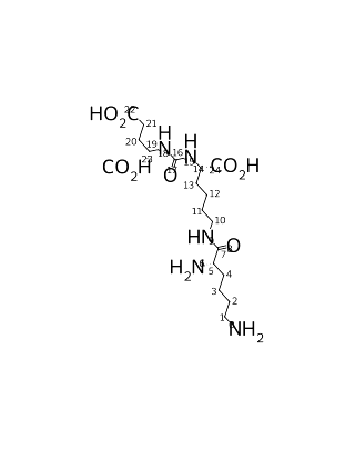 NCCCC[C@H](N)C(=O)NCCCC[C@H](NC(=O)N[C@@H](CCC(=O)O)C(=O)O)C(=O)O